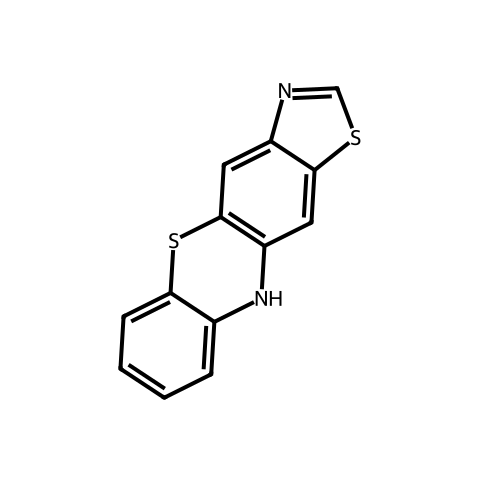 c1ccc2c(c1)Nc1cc3scnc3cc1S2